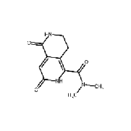 CN(C)C(=O)c1[nH]c(=O)cc2c1CCNC2=O